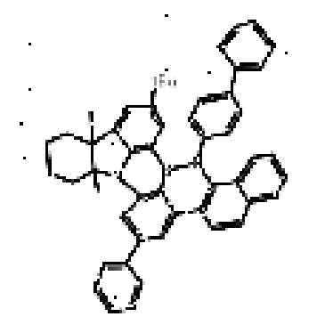 CC(C)(C)c1cc2c3c(c1)C1(C)CCCCC1(C)N3c1cc(-c3ccccc3)cc3c1B2N(c1ccc(-c2ccccc2)cc1)c1c-3ccc2ccccc12